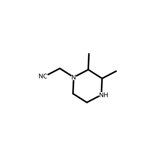 CC1NCCN(CC#N)C1C